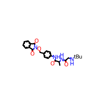 CC(NC(=O)CNC(C)(C)C)C(=O)Nc1ccc(CON2C(=O)c3ccccc3C2=O)cc1